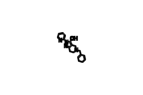 Oc1c2c(nn1-c1ccccn1)CCN(CC1=CCCC=C1)C2